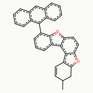 CC1C=Cc2c(oc3ccc4oc5c(-c6c7ccccc7cc7ccccc67)cccc5c4c23)C1